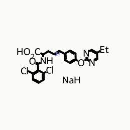 CCc1cnc(Oc2ccc(/C=C/CC(NC(=O)c3c(Cl)cccc3Cl)C(=O)O)cc2)nc1.[NaH]